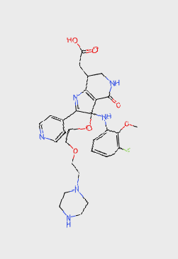 COc1c(F)cccc1NC1(OCCOCCN2CCNCC2)C(c2ccncc2)=NC2=C1C(=O)NCC2CC(=O)O